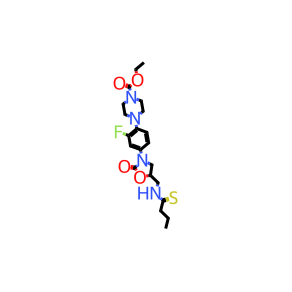 CCCC(=S)NCC1CN(c2ccc(N3CCN(C(=O)OCC)CC3)c(F)c2)C(=O)O1